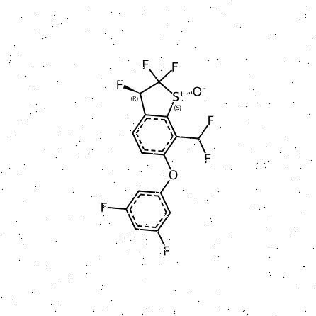 [O-][S@+]1c2c(ccc(Oc3cc(F)cc(F)c3)c2C(F)F)[C@@H](F)C1(F)F